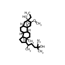 CC[C@@]1(O)C[C@@H]2CC[C@@H]3[C@H](CC[C@]4(C)C([C@H](C)CCC(C)(C)O)CC[C@@H]34)[C@@]2(C)C[C@@H]1OC